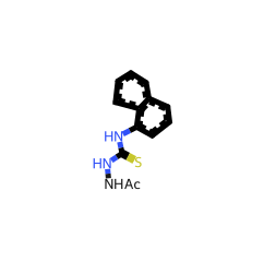 CC(=O)NNC(=S)Nc1cccc2ccccc12